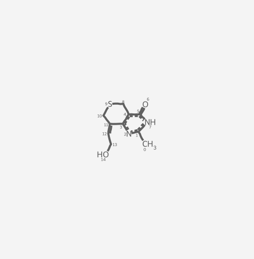 Cc1nc2c(c(=O)[nH]1)CSC/C2=C/CO